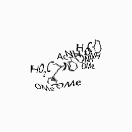 COc1cc(C(N)(C(C)=O)C2=CN(C(CC(=O)O)c3ccc(OC)c(OC)c3)C=CC=C2)ccc1NC(=O)Nc1ccccc1C